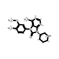 COc1cc(-n2c(=O)n([C@@H]3CCCNC3)c3ncnc(N)c32)ccc1C